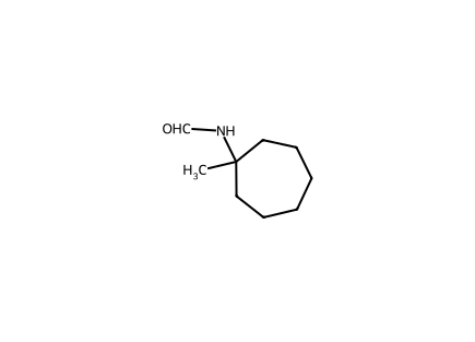 CC1(NC=O)CCCCCC1